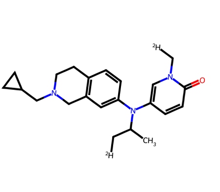 [2H]CC(C)N(c1ccc2c(c1)CN(CC1CC1)CC2)c1ccc(=O)n(C[2H])c1